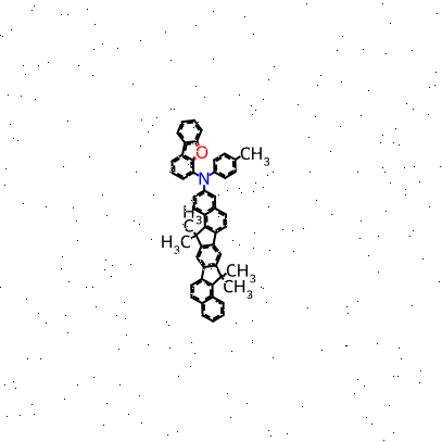 Cc1ccc(N(c2ccc3c4c(ccc3c2)-c2cc3c(cc2C4(C)C)-c2ccc4ccccc4c2C3(C)C)c2cccc3c2oc2ccccc23)cc1